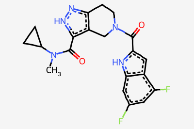 CN(C(=O)c1[nH]nc2c1CN(C(=O)c1cc3c(F)cc(F)cc3[nH]1)CC2)C1CC1